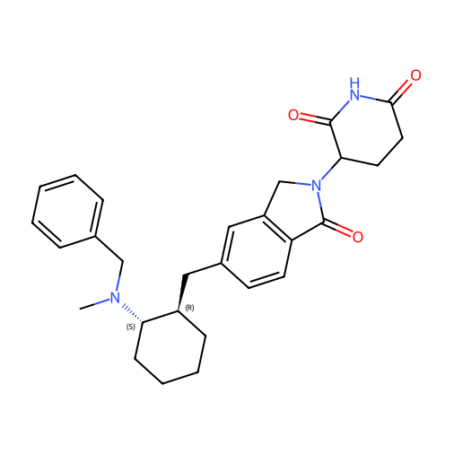 CN(Cc1ccccc1)[C@H]1CCCC[C@@H]1Cc1ccc2c(c1)CN(C1CCC(=O)NC1=O)C2=O